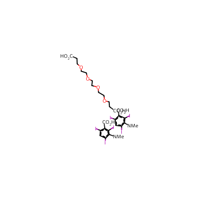 CNc1c(I)cc(I)c(C(=O)O)c1I.CNc1c(I)cc(I)c(C(=O)O)c1I.O=C(O)CCOCCOCCOCCOCCC(=O)O